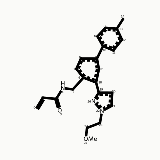 C=CC(=O)NCc1ccc(-c2ccc(C)cc2)cc1-c1ccn(CCOC)n1